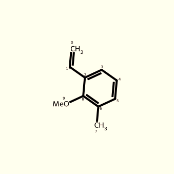 C=[C]c1cccc(C)c1OC